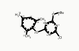 CCCCOc1nc(Cl)nc(Oc2c(C)cc(C)cc2C)n1